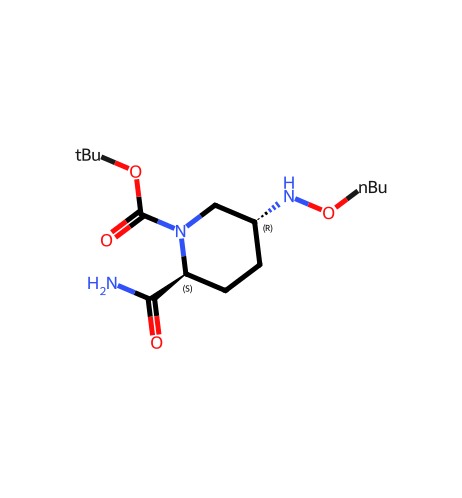 CCCCON[C@@H]1CC[C@@H](C(N)=O)N(C(=O)OC(C)(C)C)C1